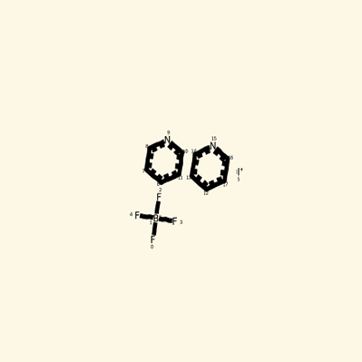 F[B-](F)(F)F.[I+].c1ccncc1.c1ccncc1